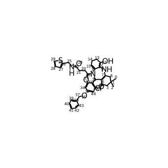 CC1(C)CC(=O)C2=C(C1)NC1=C(O)CCC=C1N(C(=O)CCC(=O)NCc1cccs1)C2c1ccc(OCc2ccccc2)cc1Cl